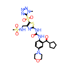 Cn1nnnc1S(=O)(=O)c1sc(NC(=O)Nc2ccc(N3CCOCC3)cc2C(=O)C2CCCC2)nc1CNS(C)(=O)=O